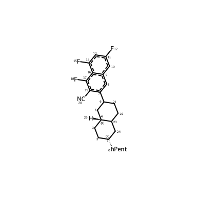 CCCCC[C@@H]1CC[C@@H]2CC(c3cc4cc(F)cc(F)c4c(F)c3C#N)CCC2C1